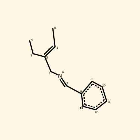 CC=C(CC)CN=Cc1ccccc1